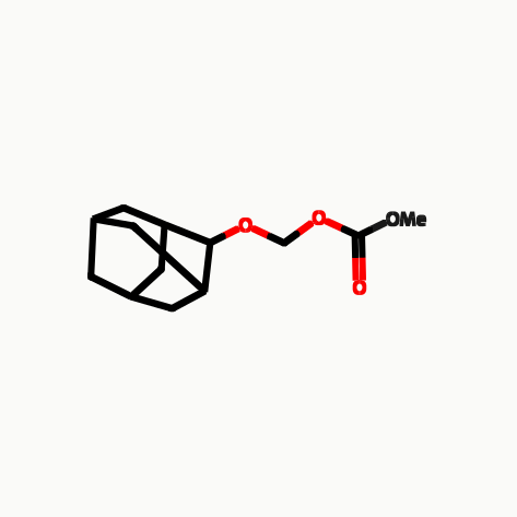 COC(=O)OCOC1C2CC3CC(C2)CC1C3